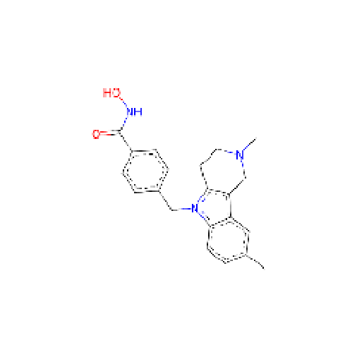 Cc1ccc2c(c1)c1c(n2Cc2ccc(C(=O)NO)cc2)CCN(C)C1